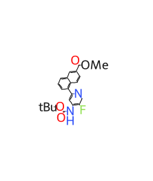 COC(=O)c1ccc2c(-c3cc(NC(=O)OC(C)(C)C)c(F)cn3)cccc2c1